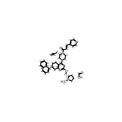 CN1CCC[C@H]1COc1nc2c(c(N3CCN(C(=O)/C=C/c4ccncc4)[C@@H](CC#N)C3)n1)CC[C@H](c1cccc3ccccc13)C2.O=CO